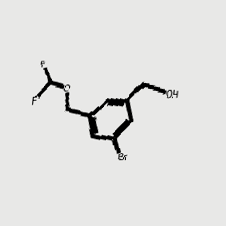 OCc1cc(Br)cc(COC(F)F)c1